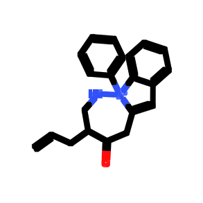 C=CCC1CN[N+]2(c3ccccc3)C(=Cc3ccccc32)CC1=O